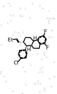 CC/C=C/[C@@H]1CC[C@H]2c3cc(F)cc(F)c3CC[C@@H]2[C@H]1c1ccc(Cl)cc1